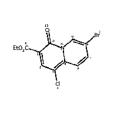 CCOC(=O)c1cc(Cl)c2ccc(Br)cn2c1=O